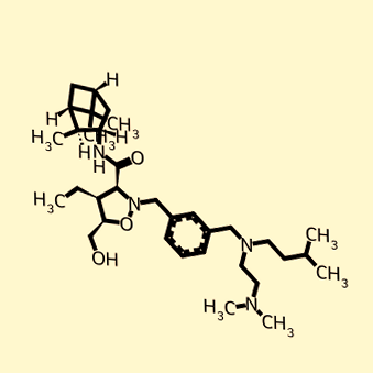 CC[C@@H]1[C@H](CO)ON(Cc2cccc(CN(CCC(C)C)CCN(C)C)c2)[C@@H]1C(=O)N[C@H]1C[C@H]2C[C@@H]([C@@H]1C)C2(C)C